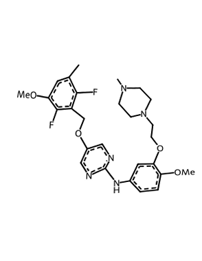 COc1ccc(Nc2ncc(OCc3c(F)c(C)cc(OC)c3F)cn2)cc1OCCN1CCN(C)CC1